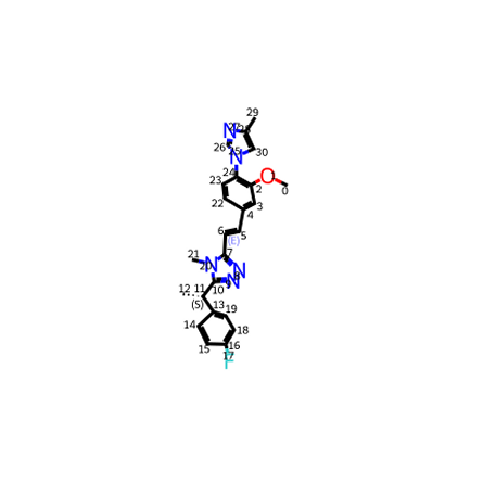 COc1cc(/C=C/c2nnc([C@@H](C)c3ccc(F)cc3)n2C)ccc1-n1cnc(C)c1